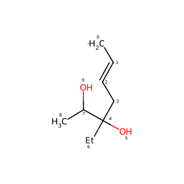 [CH2]/C=C/CC(O)(CC)C(C)O